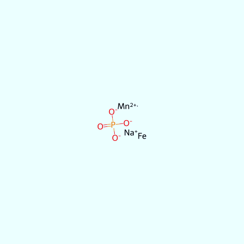 O=P([O-])([O-])[O-].[Fe].[Mn+2].[Na+]